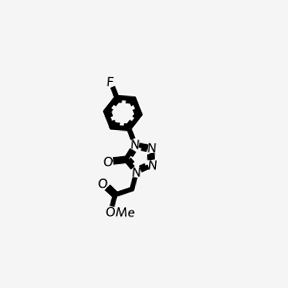 COC(=O)Cn1nnn(-c2ccc(F)cc2)c1=O